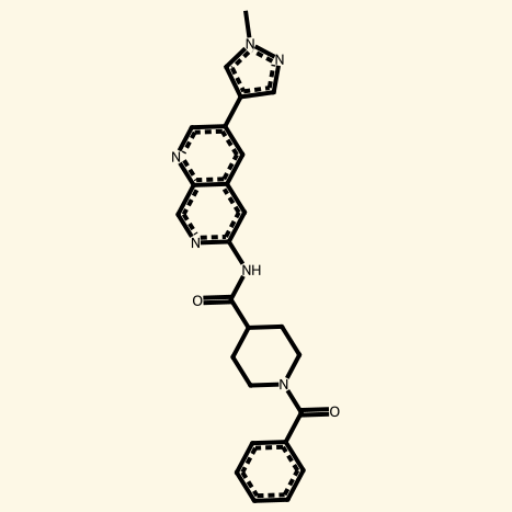 Cn1cc(-c2cnc3cnc(NC(=O)C4CCN(C(=O)c5ccccc5)CC4)cc3c2)cn1